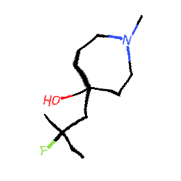 CN1CCC(O)(CC(C)(C)F)CC1